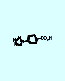 O=C(O)c1ccc(-n2cnnn2)cc1